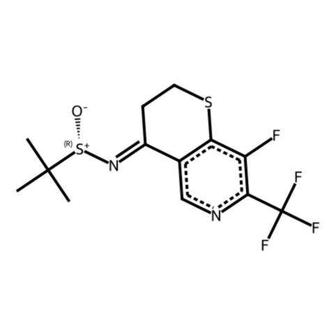 CC(C)(C)[S@+]([O-])N=C1CCSc2c1cnc(C(F)(F)F)c2F